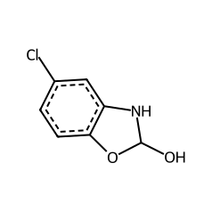 OC1Nc2cc(Cl)ccc2O1